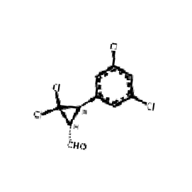 O=C[C@H]1[C@H](c2cc(Cl)cc(Cl)c2)C1(Cl)Cl